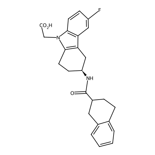 O=C(O)Cn1c2c(c3cc(F)ccc31)C[C@@H](NC(=O)C1CCc3ccccc3C1)CC2